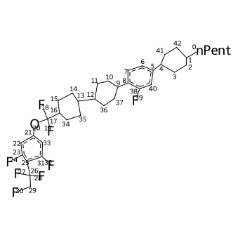 CCCCCC1CCC(c2ccc(C3CCC(C4CCC(C(F)(F)Oc5cc(F)c(C(F)(F)CF)c(F)c5)CC4)CC3)c(F)c2)CC1